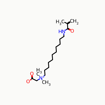 C=C(C)C(=O)NCCCCCCCCCCC[N+](C)(C)CC(=O)[O-]